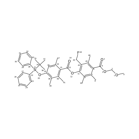 COCOC(=O)c1c(C)c(C)c(OC(=O)c2c(C)cc(O[Si](c3ccccc3)(c3ccccc3)C(C)(C)C)c(C)c2C)c(CF)c1C